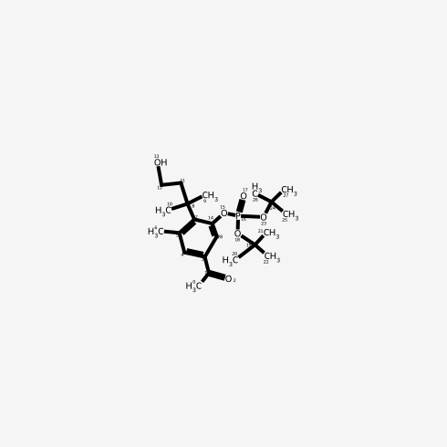 CC(=O)c1cc(C)c(C(C)(C)CCO)c(OP(=O)(OC(C)(C)C)OC(C)(C)C)c1